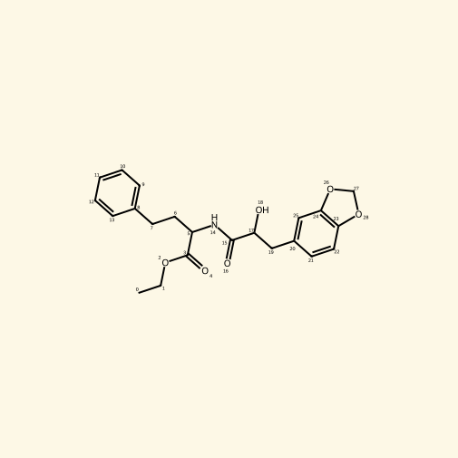 CCOC(=O)C(CCc1ccccc1)NC(=O)C(O)Cc1ccc2c(c1)OCO2